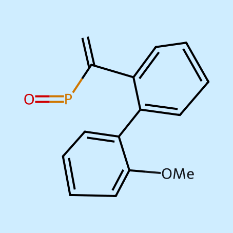 C=C(P=O)c1ccccc1-c1ccccc1OC